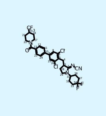 N#CN=C1C(Cc2c(Cl)cc(-c3ccc(C(=O)N4CCC(C(F)(F)F)CC4)cc3)cc2Cl)CCN1C1CCC(F)(F)CC1